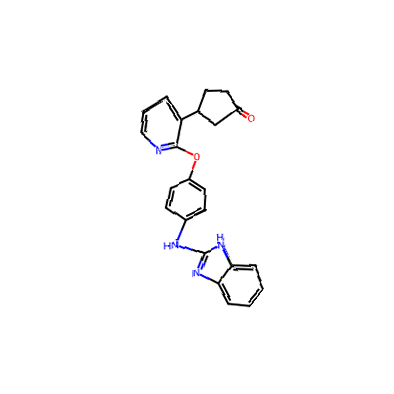 O=C1CCC(c2cccnc2Oc2ccc(Nc3nc4ccccc4[nH]3)cc2)C1